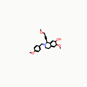 COCC#CC1C2=CC(O)C(OC)C=C2CCN1Cc1ccc(OC)cc1